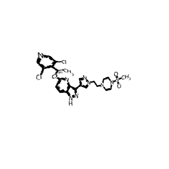 C[C@@H](Oc1ccc2[nH]nc(-c3cnn(CCN4CCN(S(C)(=O)=O)CC4)c3)c2n1)c1c(Cl)cncc1Cl